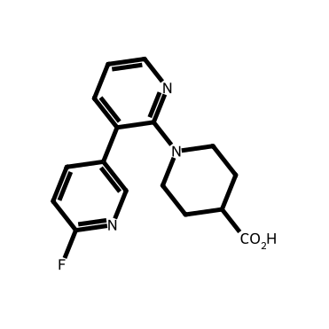 O=C(O)C1CCN(c2ncccc2-c2ccc(F)nc2)CC1